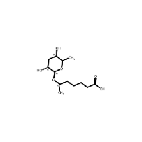 CC1O[C@@H](O[C@H](C)CCCCC(=O)O)[C@@H](O)C[C@H]1O